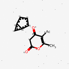 CC(=O)C1=C(C)OC(=O)CC1=O.c1cc2cc-2c1